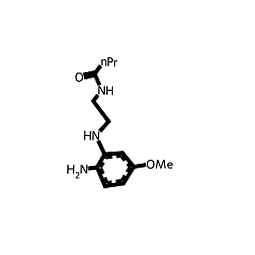 CCCC(=O)NCCNc1cc(OC)ccc1N